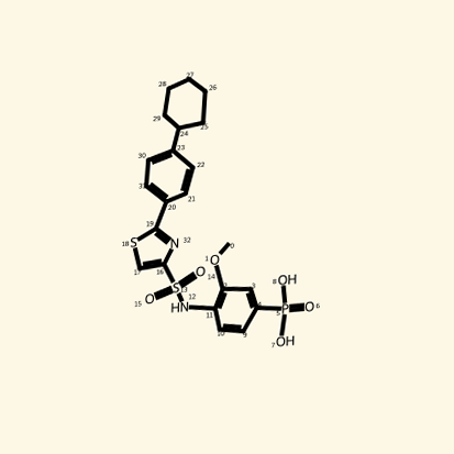 COc1cc(P(=O)(O)O)ccc1NS(=O)(=O)c1csc(-c2ccc(C3CCCCC3)cc2)n1